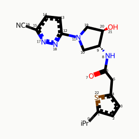 CC(C)c1ccc(CC(=O)N[C@@H]2CN(c3ccc(C#N)nn3)C[C@H]2O)s1